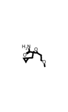 COCCC1OC1(CC1CC1)C(N)=O